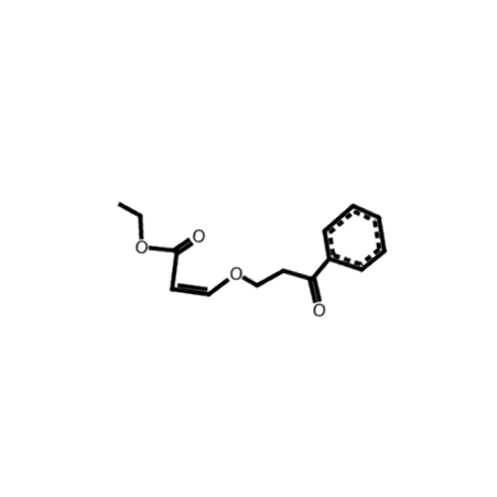 CCOC(=O)/C=C\OCCC(=O)c1ccccc1